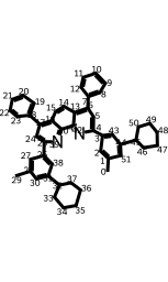 Cc1cc(-c2cc(-c3ccccc3)c3ccc4c(-c5ccccc5)cc(-c5cc(C)cc(C6CCCCC6)c5)nc4c3n2)cc(C2CCCCC2)c1